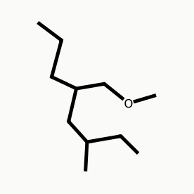 CCCC(COC)CC(C)CC